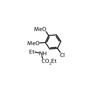 CCNC(=O)OCC.COc1ccc(Cl)cc1OC